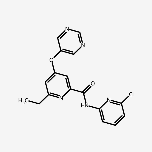 CCc1cc(Oc2cncnc2)cc(C(=O)Nc2cccc(Cl)n2)n1